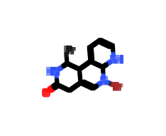 CC(C)C1NC(=O)CC2=CN(Br)C3NC=CC=C3C21